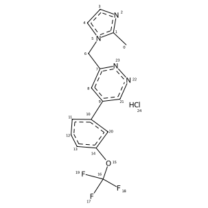 Cc1nccn1Cc1cc(-c2cccc(OC(F)(F)F)c2)cnn1.Cl